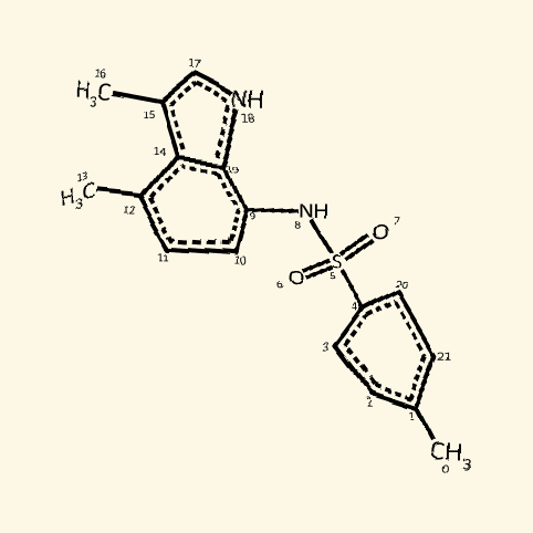 Cc1ccc(S(=O)(=O)Nc2ccc(C)c3c(C)c[nH]c23)cc1